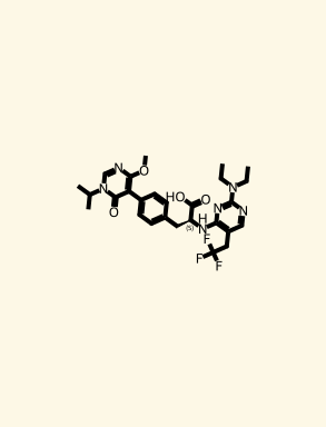 CCN(CC)c1ncc(CC(F)(F)F)c(N[C@@H](Cc2ccc(-c3c(OC)ncn(C(C)C)c3=O)cc2)C(=O)O)n1